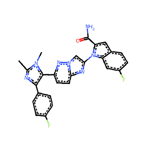 Cc1nc(-c2ccc(F)cc2)c(-c2ccc3nc(-n4c(C(N)=O)cc5ccc(F)cc54)cn3n2)n1C